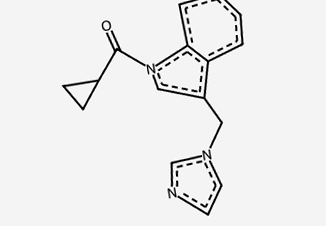 O=C(C1CC1)n1cc(Cn2ccnc2)c2ccccc21